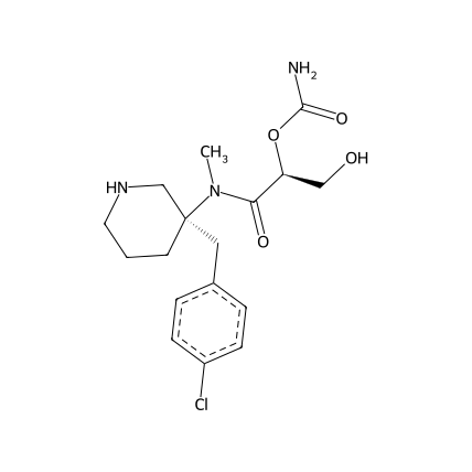 CN(C(=O)[C@H](CO)OC(N)=O)[C@@]1(Cc2ccc(Cl)cc2)CCCNC1